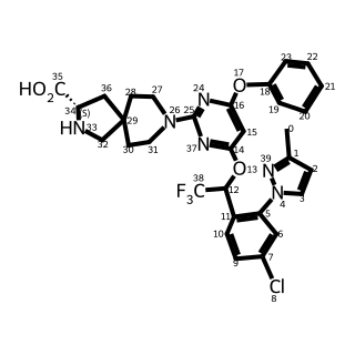 Cc1ccn(-c2cc(Cl)ccc2C(Oc2cc(Oc3ccccc3)nc(N3CCC4(CC3)CN[C@H](C(=O)O)C4)n2)C(F)(F)F)n1